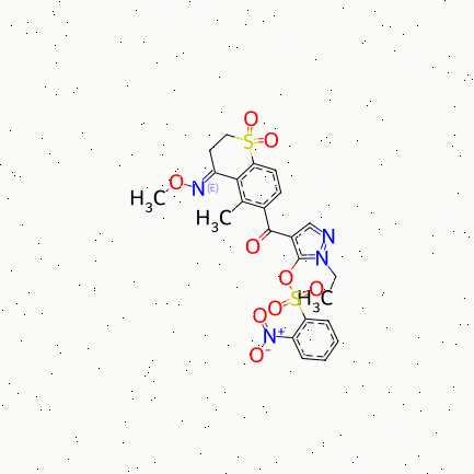 CCn1ncc(C(=O)c2ccc3c(c2C)/C(=N/OC)CCS3(=O)=O)c1OS(=O)(=O)c1ccccc1[N+](=O)[O-]